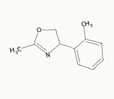 CC1=NC(c2ccccc2C)CO1